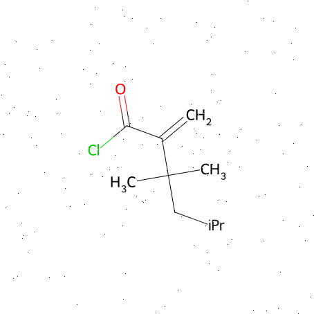 C=C(C(=O)Cl)C(C)(C)CC(C)C